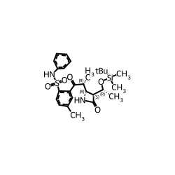 Cc1ccc(S(=O)(=O)Nc2ccccc2)c(C(=O)[C@H](C)[C@H]2NC(=O)[C@@H]2[C@@H](C)O[Si](C)(C)C(C)(C)C)c1